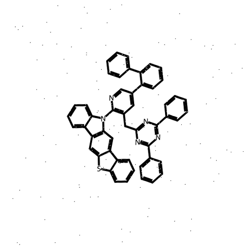 c1ccc(-c2nc(Cc3cc(-c4ccccc4-c4ccccc4)cnc3-n3c4ccccc4c4cc5sc6ccccc6c5cc43)nc(-c3ccccc3)n2)cc1